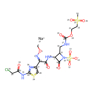 CON=C(C(=O)NC1C(=O)N(S(=O)(=O)[O-])C1CNC(=O)OCCS(C)(=O)=O)c1csc(NC(=O)CCl)n1.[Na+]